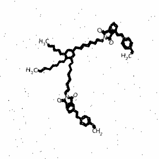 C=Cc1ccc(CCC2=CC3CC2C2C(=O)N(CCCCCCCCC4CC(CCCCCCCCN5C(=O)C6C7C=CC(CCc8ccc(C=C)cc8)(C7)C6C5=O)CC(CCCCCC)C4CCCCCCCC)C(=O)C32)cc1